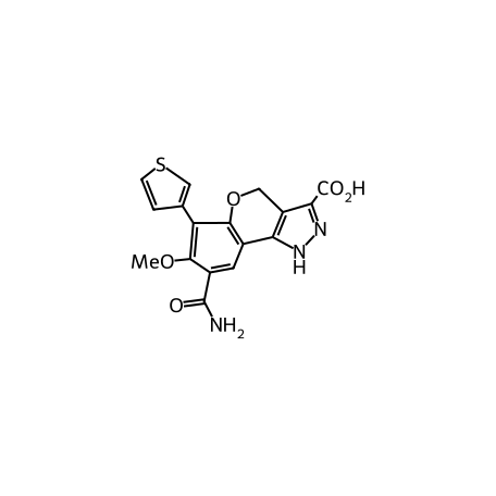 COc1c(C(N)=O)cc2c(c1-c1ccsc1)OCc1c(C(=O)O)n[nH]c1-2